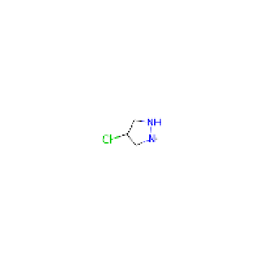 ClC1C[N]NC1